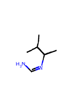 CC(C)C(C)/N=C\N